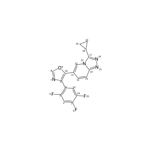 Fc1cc(F)c(-c2ncoc2-c2ccc3nnc(C4CC4)n3c2)cc1F